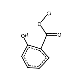 O=C(OCl)c1ccccc1O